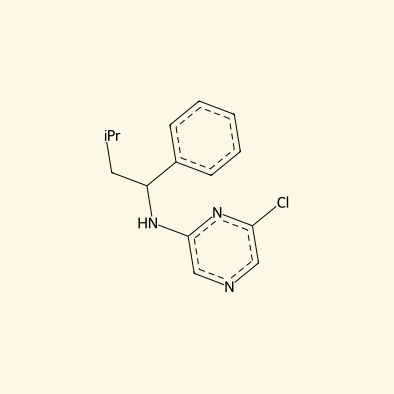 CC(C)CC(Nc1cncc(Cl)n1)c1ccccc1